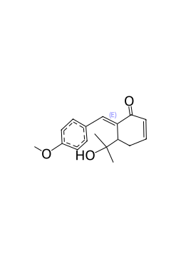 COc1ccc(/C=C2/C(=O)C=CCC2C(C)(C)O)cc1